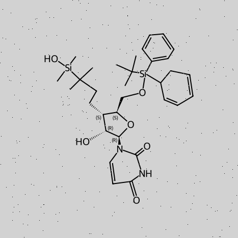 CC(C)(CC[C@H]1[C@@H](O)[C@H](n2ccc(=O)[nH]c2=O)O[C@@H]1CO[Si](c1ccccc1)(C1C=CC=CC1)C(C)(C)C)[Si](C)(C)O